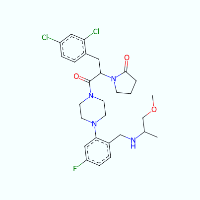 COCC(C)NCc1ccc(F)cc1N1CCN(C(=O)C(Cc2ccc(Cl)cc2Cl)N2CCCC2=O)CC1